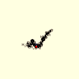 CC(C)N(CCc1c2c(nc3ccccc13)/C(=C/C1=C(C=O)COC(=O)[C@H]1OC(=O)OCc1ccc(NC(=O)CNC(=O)COCC=O)cc1)N(C)C2)S(C)(=O)=O